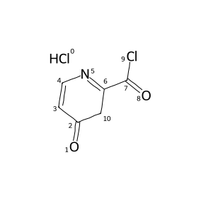 Cl.O=C1C=CN=C(C(=O)Cl)C1